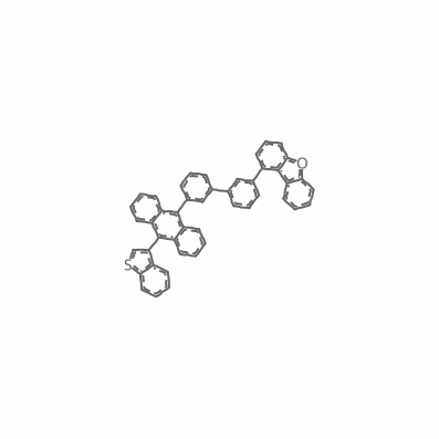 c1cc(-c2cccc(-c3cccc4oc5ccccc5c34)c2)cc(-c2c3ccccc3c(-c3csc4ccccc34)c3ccccc23)c1